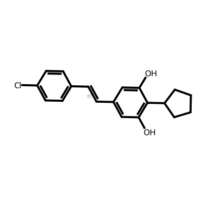 Oc1cc(/C=C/c2ccc(Cl)cc2)cc(O)c1C1CCCC1